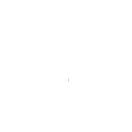 CC[N+](CC)(CC)C(I)c1ccccc1